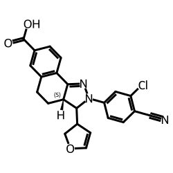 N#Cc1ccc(N2N=C3c4ccc(C(=O)O)cc4CC[C@H]3C2C2C=COC2)cc1Cl